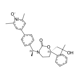 Cc1cc(-c2ccc([C@H](C)N3CC[C@](CC(C)(C)O)(c4ccccc4)OC3=O)cc2)cc(C)[n+]1[O-]